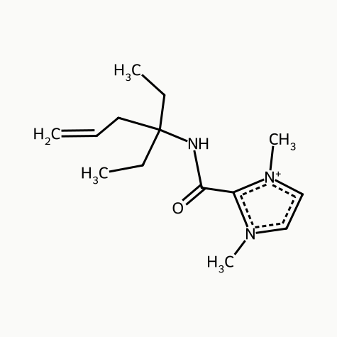 C=CCC(CC)(CC)NC(=O)c1n(C)cc[n+]1C